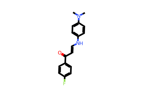 CN(C)c1ccc(NC=CC(=O)c2ccc(F)cc2)cc1